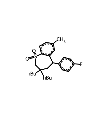 CCCCC1(CCCC)CC(c2ccc(F)cc2)c2cc(C)ccc2S(=O)(=O)C1